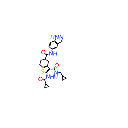 O=C(NCC1CC1)c1c(NC(=O)C2CC2)sc2c1CC(C(=O)Nc1ccc3[nH]ncc3c1)CC2